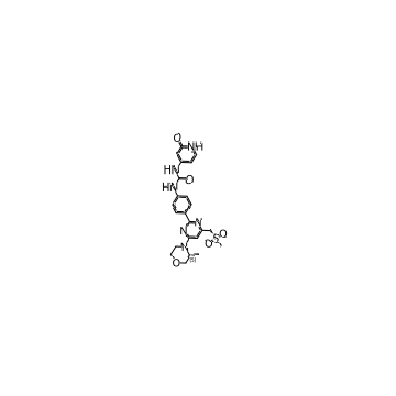 C[C@H]1COCCN1c1cc(CS(C)(=O)=O)nc(-c2ccc(NC(=O)Nc3cc[nH]c(=O)c3)cc2)n1